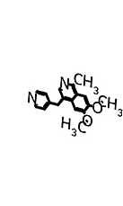 COc1cc2c(Cc3ccncc3)cnc(C)c2cc1OC